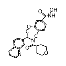 O=C(NO)c1ccc2c(c1)OC[C@H](c1ccc3cccnc3c1)N(C(=O)C1CCOCC1)C2